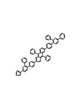 c1ccc(-c2ccc(-c3ccc(-c4ccc5c(-c6ccccc6)c6cc(-c7ccc(-c8ccc(-c9ccccc9)nc8-c8ccccc8)cc7)ccc6c(-c6ccccc6)c5c4)cc3)c(-c3ccccc3)n2)cc1